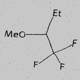 [CH2]CC(OC)C(F)(F)F